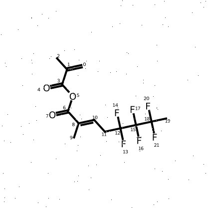 C=C(C)C(=O)OC(=O)C(C)=CCC(F)(F)C(F)(F)C(C)(F)F